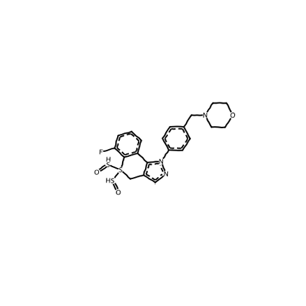 O=[SH]S1([SH]=O)Cc2[c]nn(-c3ccc(CN4CCOCC4)cc3)c2-c2cccc(F)c21